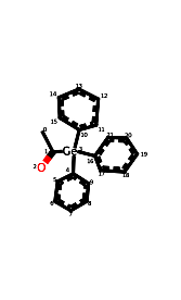 C[C](=O)[Ge]([c]1ccccc1)([c]1ccccc1)[c]1ccccc1